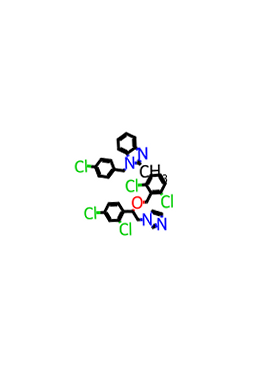 Cc1nc2ccccc2n1Cc1ccc(Cl)cc1.Clc1ccc(C(Cn2ccnc2)OCc2c(Cl)cccc2Cl)c(Cl)c1